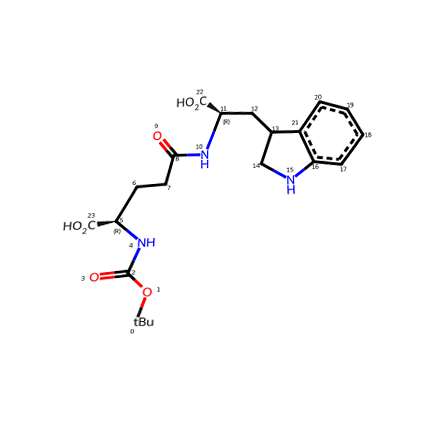 CC(C)(C)OC(=O)N[C@H](CCC(=O)N[C@H](CC1CNc2ccccc21)C(=O)O)C(=O)O